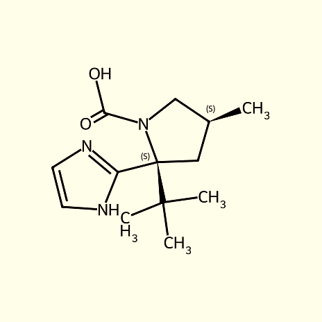 C[C@@H]1CN(C(=O)O)[C@](c2ncc[nH]2)(C(C)(C)C)C1